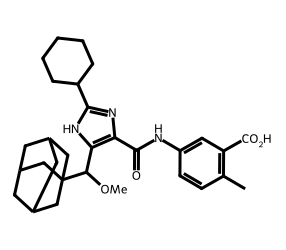 COC(c1[nH]c(C2CCCCC2)nc1C(=O)Nc1ccc(C)c(C(=O)O)c1)C12CC3CC(CC(C3)C1)C2